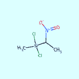 CC([N+](=O)[O-])[Si](C)(Cl)Cl